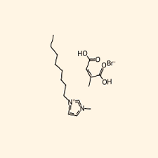 C/C(=C/C(=O)O)C(=O)O.CCCCCCCC[n+]1ccn(C)c1.[Br-]